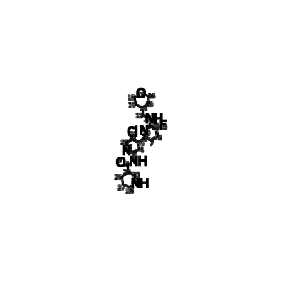 O=C(Nc1cc(-c2ccc(F)c(NCC3CCOCC3)n2)c(Cl)cn1)[C@@H]1CCCNC1